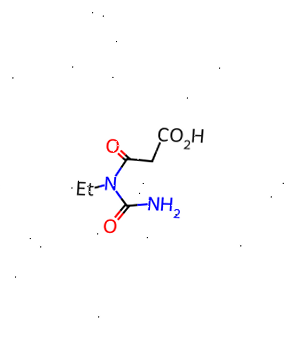 CCN(C(N)=O)C(=O)CC(=O)O